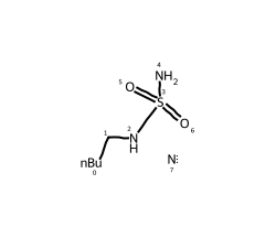 CCCCCNS(N)(=O)=O.[N]